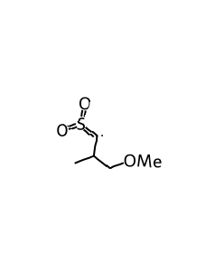 COCC(C)[C]=S(=O)=O